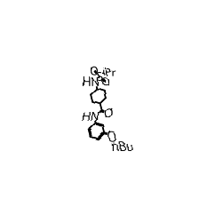 CCCCOc1cccc(NC(=O)C2CCC(NS(=O)(=O)C(C)C)CC2)c1